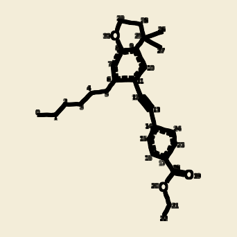 CCCCCCc1cc2c(cc1C#Cc1ccc(C(=O)OCC)cc1)C(C)(C)CCO2